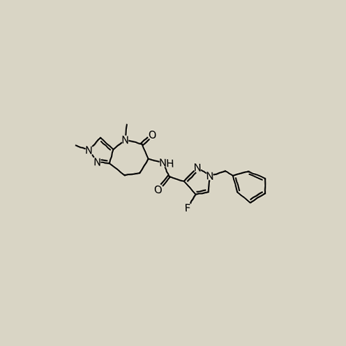 CN1C(=O)C(NC(=O)c2nn(Cc3ccccc3)cc2F)CCc2nn(C)cc21